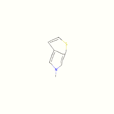 Cn1cc2ccsc2c1